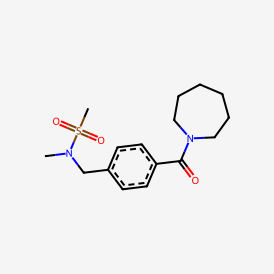 CN(Cc1ccc(C(=O)N2CCCCCC2)cc1)S(C)(=O)=O